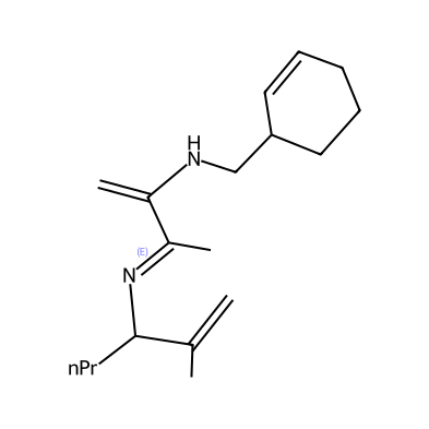 C=C(NCC1C=CCCC1)/C(C)=N/C(CCC)C(=C)C